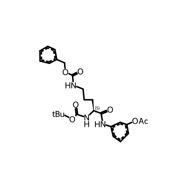 CC(=O)Oc1cccc(NC(=O)[C@H](CCCNC(=O)OCc2ccccc2)NC(=O)OC(C)(C)C)c1